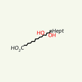 CCCCCCCC(O)CCC(O)CCCCCCCCCCC(=O)O